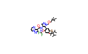 CC(C)[Si](Sc1ccc(OC(F)F)c(-c2c(NC(=O)c3cnn4cccnc34)cnn2COCC[Si](C)(C)C)c1)(C(C)C)C(C)C